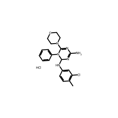 Cc1ccc(NC2N=C(N)N=C(N3CCOCC3)N2c2ccccc2)cc1Cl.Cl